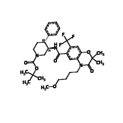 COCCCCN1C(=O)C(C)(C)Oc2cc(C(F)(F)F)c(C(=O)N[C@H]3CN(C(=O)OC(C)(C)C)CC[C@@H]3c3ccccc3)cc21